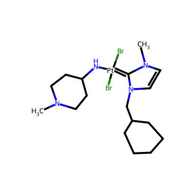 CN1CCC([NH][Pt]([Br])([Br])=[c]2n(C)ccn2CC2CCCCC2)CC1